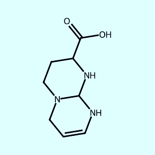 O=C(O)C1CCN2CC=CNC2N1